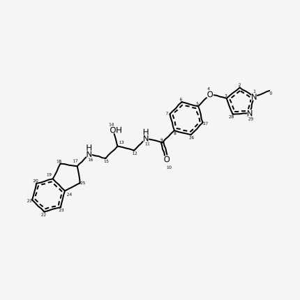 Cn1cc(Oc2ccc(C(=O)NCC(O)CNC3Cc4ccccc4C3)cc2)cn1